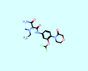 CN(CC(F)(F)F)[C@@H](C(N)=O)C(=O)Nc1ccc(N2CCOCC2=O)c(OC(F)F)c1